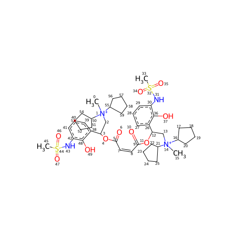 C[N+](CC(OC(=O)/C=C\C(=O)OC(C[N+](C)(C1CCCC1)C1CCCC1)c1cccc(NS(C)(=O)=O)c1O)c1cccc(NS(C)(=O)=O)c1O)(C1CCCC1)C1CCCC1